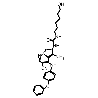 Cc1c(NC(=O)NCCCCCCO)cn2ncc(C#N)c(Nc3ccc(Oc4ccccc4)cc3)c12